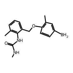 Bc1ccc(OCc2cccc(C)c2NC(=O)NC)c(C)c1